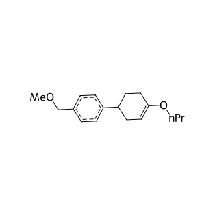 CCCOC1=CCC(c2ccc(COC)cc2)CC1